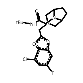 CC(C)(C)NC(=O)CN1C2CCC1CN(Cc1nc3cc(F)cc(Cl)c3o1)C2